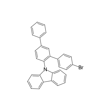 Brc1ccc(-c2cc(-c3ccccc3)ccc2-n2c3ccccc3c3ccccc32)cc1